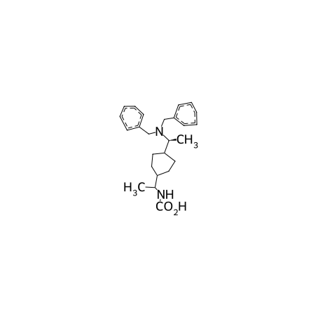 CC(NC(=O)O)C1CCC([C@H](C)N(Cc2ccccc2)Cc2ccccc2)CC1